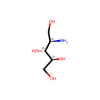 N[C@H](CO)[C@@H](O)[C@@H](O)CO